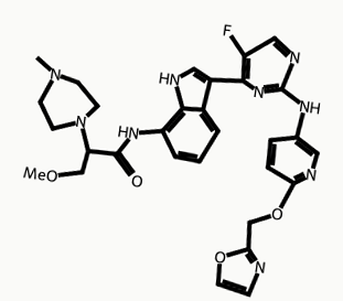 COCC(C(=O)Nc1cccc2c(-c3nc(Nc4ccc(OCc5ncco5)nc4)ncc3F)c[nH]c12)N1CCN(C)CC1